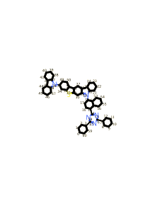 c1ccc(-c2nc(-c3ccccc3)nc(-c3ccc(-n4c5ccccc5c5cc6c(cc54)sc4cc(-n5c7ccccc7c7ccccc75)ccc46)c4ccccc34)n2)cc1